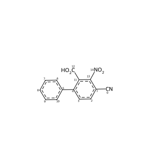 N#Cc1ccc(-c2ccccc2)c(C(=O)O)c1[N+](=O)[O-]